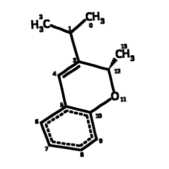 CC(C)C1=Cc2ccccc2O[C@H]1C